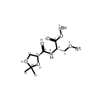 CCCCOC(=O)[C@H](COCC)NC(=O)[C@@H]1COC(C)(C)O1